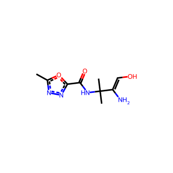 Cc1nnc(C(=O)NC(C)(C)/C(N)=C/O)o1